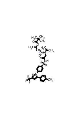 Cc1ccc(-c2cc(C(F)(F)F)nn2-c2ccc(S(=O)(=O)NC(=O)CN(C(C)C)/[N+]([O-])=N/OC(C)OC(=O)C(C)(C)C)cc2)cc1